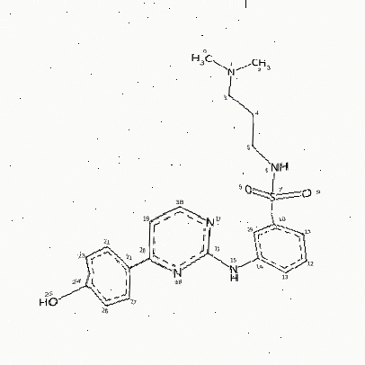 CN(C)CCCNS(=O)(=O)c1cccc(Nc2nccc(-c3ccc(O)cc3)n2)c1